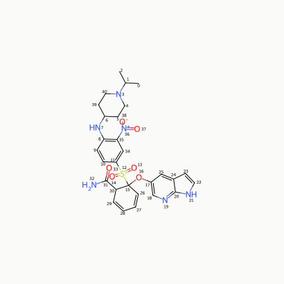 CC(C)N1CCC(Nc2ccc(S(=O)(=O)C3(Oc4cnc5[nH]ccc5c4)C=CC=CC3C(N)=O)cc2[N+](=O)[O-])CC1